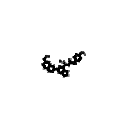 Cc1ccc(NC(=O)CN(C)c2nc(-c3cc4cc(CO)ccc4cn3)nc3c2CCC3)cn1